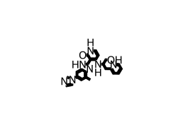 Cc1cc(-n2ccnc2)cc2[nH]c(-c3c(NC(CO)Cc4ccccn4)cc[nH]c3=O)nc12